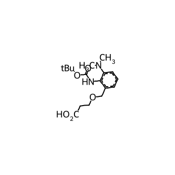 CN(C)c1cccc(COCCC(=O)O)c1NC(=O)OC(C)(C)C